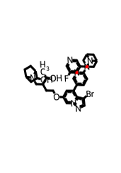 CC(O)C(CCOc1cc(-c2ccc(N3CC4CC(C3)N4Cc3cncc(F)c3)nc2)c2c(Br)cnn2c1)CN1C2CCC1C(O)C2